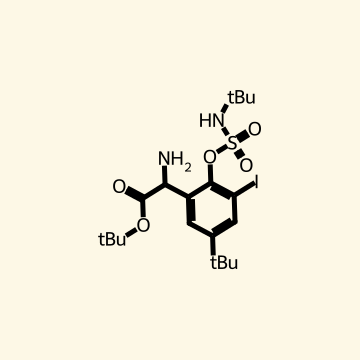 CC(C)(C)NS(=O)(=O)Oc1c(I)cc(C(C)(C)C)cc1C(N)C(=O)OC(C)(C)C